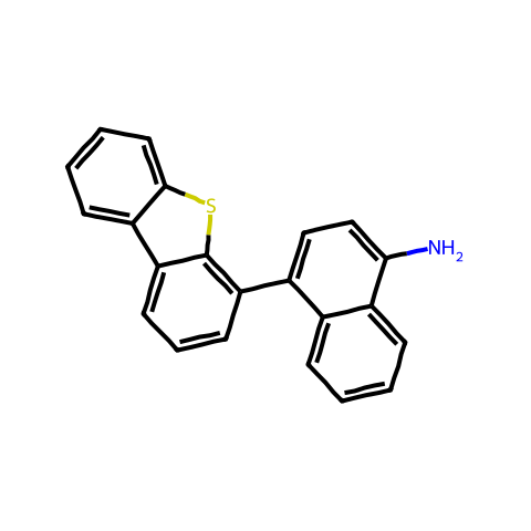 Nc1ccc(-c2cccc3c2sc2ccccc23)c2ccccc12